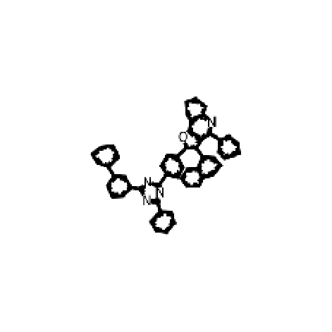 c1ccc(-c2cccc(-c3nc(-c4ccccc4)nc(-c4ccc(-c5oc6c(c(-c7ccccc7)nc7ccccc76)c5-c5cccc6ccccc56)cc4)n3)c2)cc1